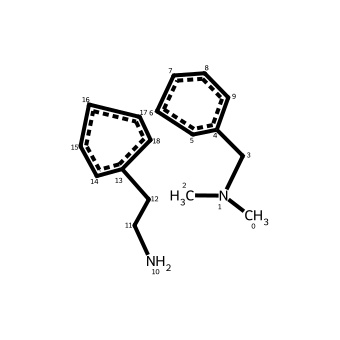 CN(C)Cc1ccccc1.NCCc1ccccc1